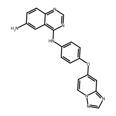 Nc1ccc2ncnc(Nc3ccc(Oc4ccn5ncnc5c4)cc3)c2c1